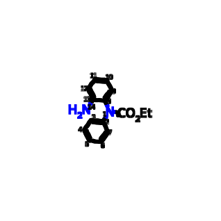 CCOC(=O)N(c1ccccc1)c1ccccc1N